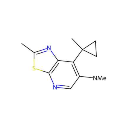 CNc1cnc2sc(C)nc2c1C1(C)CC1